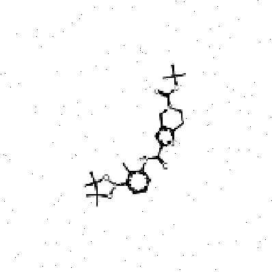 Cc1c(NC(=O)c2cc3c(s2)CCN(C(=O)OC(C)(C)C)C3)cccc1B1OC(C)(C)C(C)(C)O1